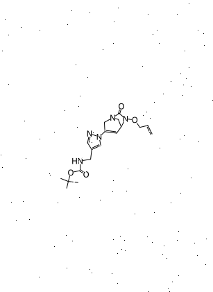 C=CCON1C(=O)N2CC(n3cc(CNC(=O)OC(C)(C)C)cn3)=CC1C2